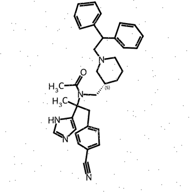 CC(=O)N(C[C@H]1CCCN(CC(c2ccccc2)c2ccccc2)C1)C(C)(Cc1ccc(C#N)cc1)c1cnc[nH]1